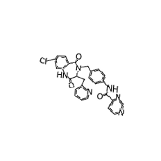 O=C(Nc1ccc(CN2C(=O)c3ccc(Cl)cc3NC(=O)C2Cc2ccccn2)cc1)c1ccncn1